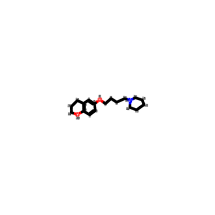 c1cc2c(cc1OCCCCN1CCCCC1)CCCO2